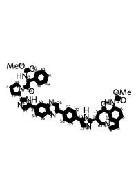 COC(=O)N[C@H]1CCc2ccn3c2C1C(=O)C[C@H](c1ncc(-c2ccc(-c4cnc5cc(-c6cnc([C@@H]7CCCN7C(=O)[C@H](NC(=O)OC)c7ccccc7)[nH]6)ccc5n4)cc2)[nH]1)C3